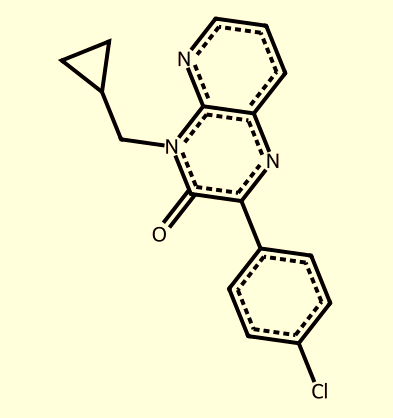 O=c1c(-c2ccc(Cl)cc2)nc2cccnc2n1CC1CC1